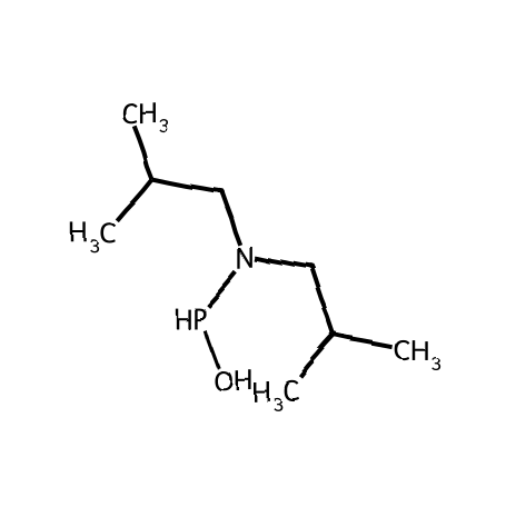 CC(C)CN(CC(C)C)PO